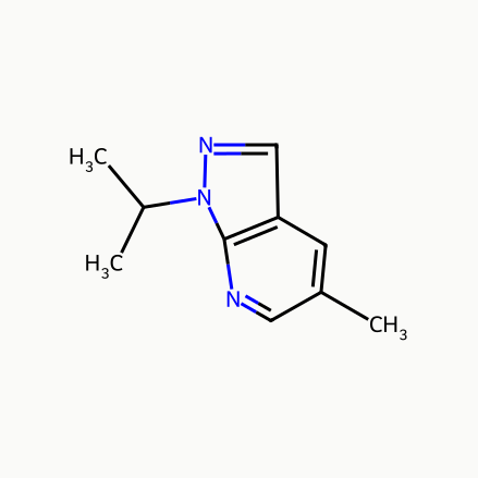 Cc1cnc2c(cnn2C(C)C)c1